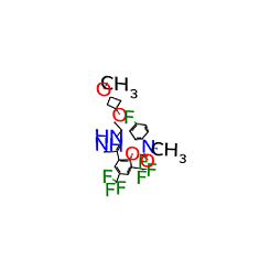 COC1CC(OCCN/C=C(\C=N)c2cc(C(F)(F)F)cc(C(F)(F)F)c2OC(=O)N(C)c2ccc(F)cc2)C1